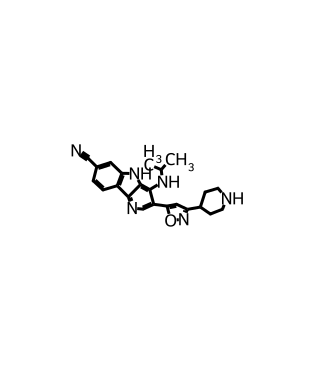 CC(C)Nc1c(-c2cc(C3CCNCC3)no2)cnc2c1[nH]c1cc(C#N)ccc12